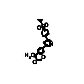 CN1C(=O)COc2cc(-c3cncc(C4=CCN(S(=O)(=O)C5CC5)CC4)c3)ccc21